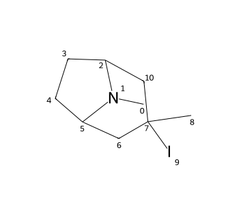 CN1C2CCC1CC(C)(I)C2